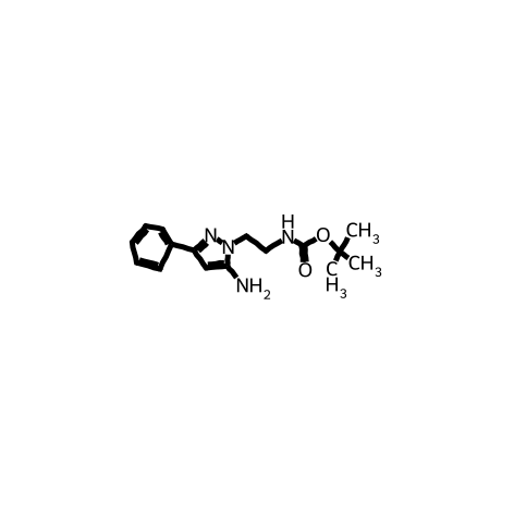 CC(C)(C)OC(=O)NCCn1nc(-c2ccccc2)cc1N